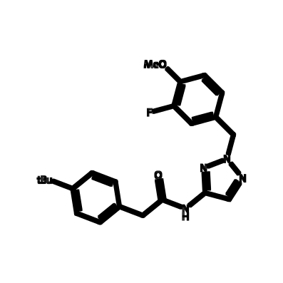 COc1ccc(Cn2ncc(NC(=O)Cc3ccc(C(C)(C)C)cc3)n2)cc1F